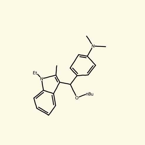 CCCCOC(c1ccc(N(C)C)cc1)c1c(C)n(CC)c2ccccc12